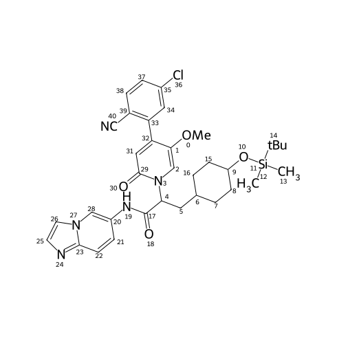 COc1cn(C(CC2CCC(O[Si](C)(C)C(C)(C)C)CC2)C(=O)Nc2ccc3nccn3c2)c(=O)cc1-c1cc(Cl)ccc1C#N